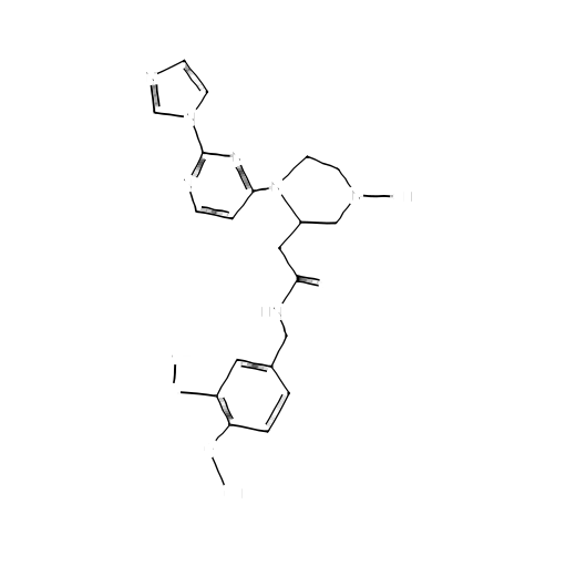 COc1ccc(CNC(=O)CC2CN(C)CCN2c2ccnc(-n3ccnc3)n2)cc1OC